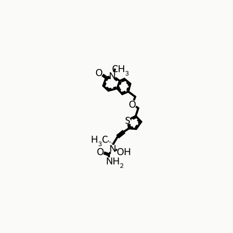 C[C@H](C#Cc1ccc(COCc2ccc3c(ccc(=O)n3C)c2)s1)N(O)C(N)=O